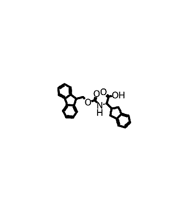 O=C(N[C@H](C(=O)O)C1Cc2ccccc2C1)OCC1c2ccccc2-c2ccccc21